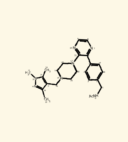 CC(=O)NCc1ccc(-c2nccnc2N2CCN(Cc3c(C)nn(C)c3C)CC2)cc1